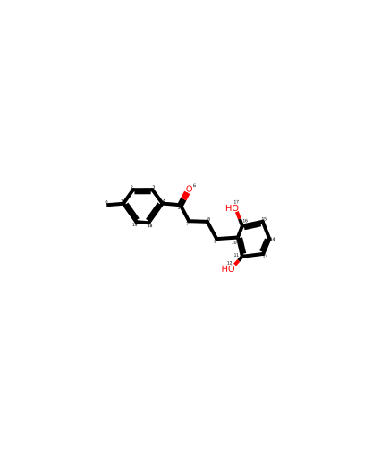 Cc1ccc(C(=O)CCCc2c(O)cccc2O)cc1